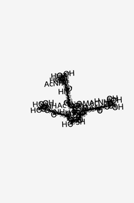 COP(=O)(OC)OCC1(COP(=O)(S)OCC2(COP(=O)(S)OCC3(CO)CCN(C(=O)CCCCCNC(=O)CCCO[C@@H]4O[C@@H](CO)[C@@H](O)[C@H](O)[C@H]4NC(C)=O)CC3)CCN(C(=O)CCCCCNC(=O)CCCO[C@@H]3O[C@@H](CO)[C@@H](O)[C@H](O)[C@H]3NC(C)=O)CC2)CCN(C(=O)CCCCCNC(=O)CCCO[C@@H]2O[C@@H](CO)[C@@H](O)[C@H](O)[C@H]2NC(C)=O)CC1